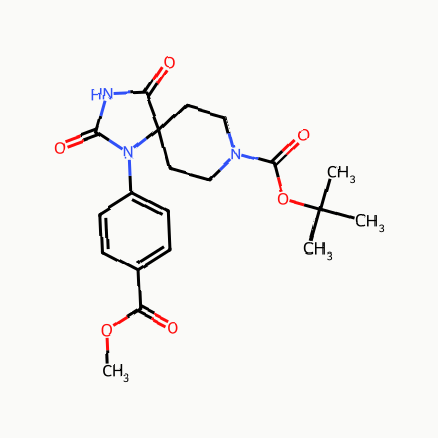 COC(=O)c1ccc(N2C(=O)NC(=O)C23CCN(C(=O)OC(C)(C)C)CC3)cc1